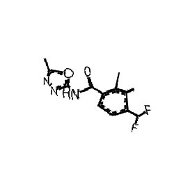 Cc1nnc(NC(=O)c2ccc(C(F)F)c(C)c2C)o1